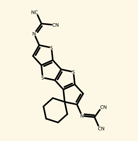 N#CC(C#N)=NC1=Cc2sc3c(sc4cc(N=C(C#N)C#N)sc43)c2C12CCCCC2